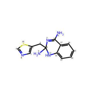 NC1=NC(N)(Cc2cncs2)Nc2ccccc21